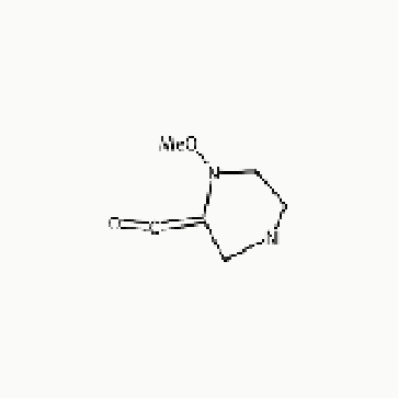 CON1CCNCC1=C=O